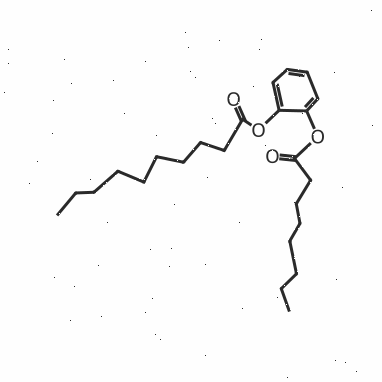 CCCCCCCCCC(=O)Oc1ccccc1OC(=O)CCCCCCC